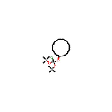 C[Si](C)(C)O[Si](Cl)(OC1CCCCCCCCCCC1)O[Si](C)(C)C